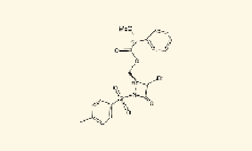 CCC1C(=O)N(S(=O)(=O)c2ccc(C)cc2)[C@H]1COC(=O)[C@H](OC)c1ccccc1